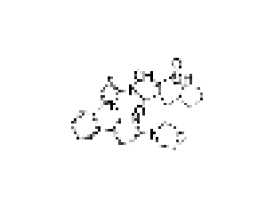 CN(C(=O)[C@@H](CC(=O)O)CC1CCCC1)c1nc(-c2ccccc2-c2ccc(N3CCOCC3)nc2)cs1